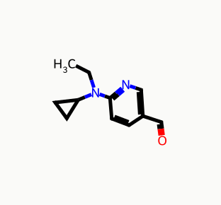 CCN(c1ccc(C=O)cn1)C1CC1